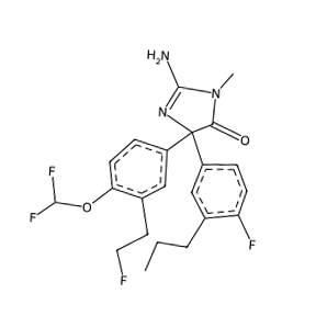 CCCc1cc(C2(c3ccc(OC(F)F)c(CCF)c3)N=C(N)N(C)C2=O)ccc1F